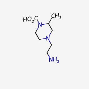 CC1CN(CCN)CCN1C(=O)O